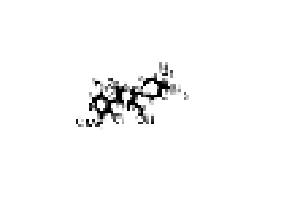 COc1nccc(-c2nc(CO)c(N3CCC(C)(N)CC3)nc2C)c1Cl